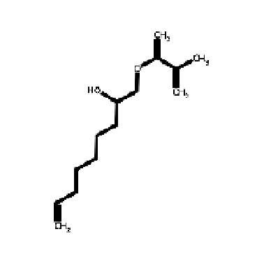 C=CCCCCCC(O)COC(=C)C(=C)C